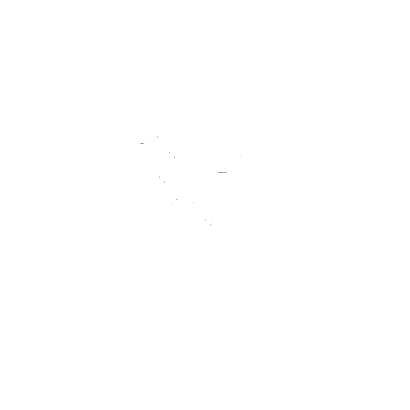 CC1CCC(=O)CCN1C(=O)c1ccccc1-n1nccn1